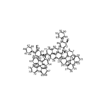 Fc1cc(N(c2cccc3c2-c2ccccc2C32c3ccccc3-c3ccccc32)c2ccc3ccc4c(N(c5ccc(-c6ccccc6)c(F)c5)c5cccc6c5-c5ccccc5C65c6ccccc6-c6ccccc65)ccc5ccc2c3c54)ccc1-c1ccccc1